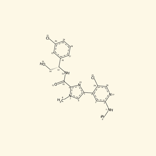 CC(C)Nc1cc(-c2cn(C)c(C(=O)N[C@H](CO)c3cccc(Cl)c3)n2)c(Cl)cn1